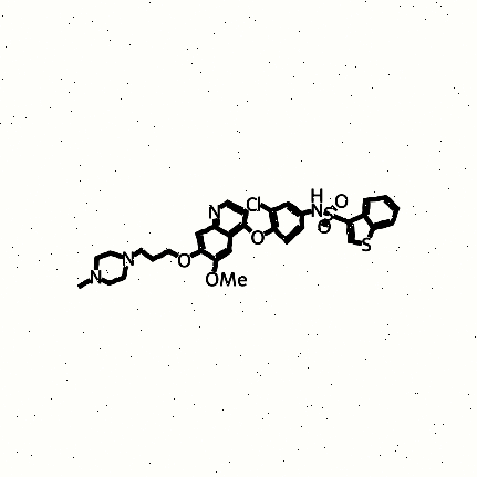 COc1cc2c(Oc3ccc(NS(=O)(=O)c4csc5ccccc45)cc3Cl)ccnc2cc1OCCCN1CCN(C)CC1